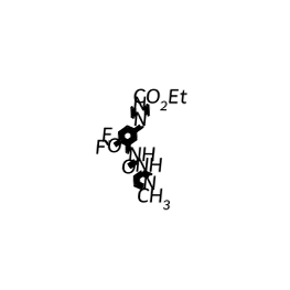 CCOC(=O)N1CCN(Cc2ccc(OC(F)F)c(CNC(=O)Nc3ccc(C)nc3)c2)CC1